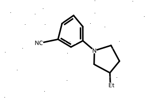 CCC1CCN(c2cccc(C#N)c2)C1